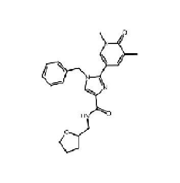 Cc1cc(-c2nc(C(=O)NCC3CCCO3)cn2Cc2ccccc2)cn(C)c1=O